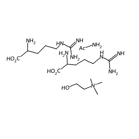 CC(N)=O.C[N+](C)(C)CCO.N=C(N)NCCCC(N)C(=O)O.N=C(N)NCCCC(N)C(=O)O